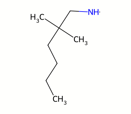 CCCCC(C)(C)C[NH]